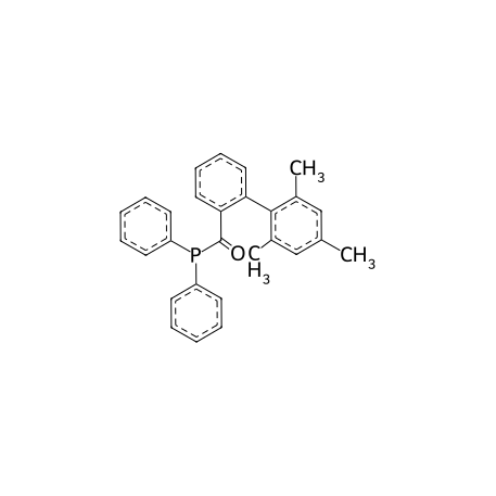 Cc1cc(C)c(-c2ccccc2C(=O)P(c2ccccc2)c2ccccc2)c(C)c1